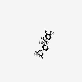 CC1CN(c2ccnc(NS(=O)(=O)c3ccc(Br)c(F)c3)c2)CC(C)N1